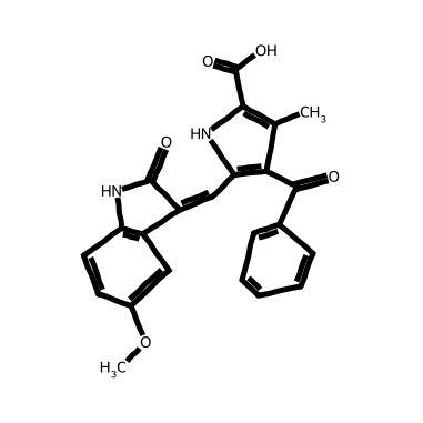 COc1ccc2c(c1)C(=Cc1[nH]c(C(=O)O)c(C)c1C(=O)c1ccccc1)C(=O)N2